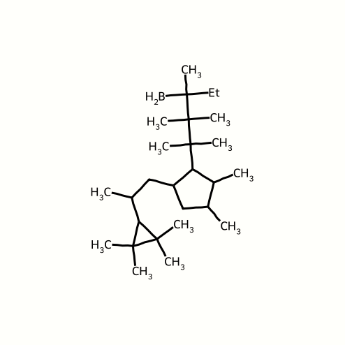 BC(C)(CC)C(C)(C)C(C)(C)C1C(CC(C)C2C(C)(C)C2(C)C)CC(C)C1C